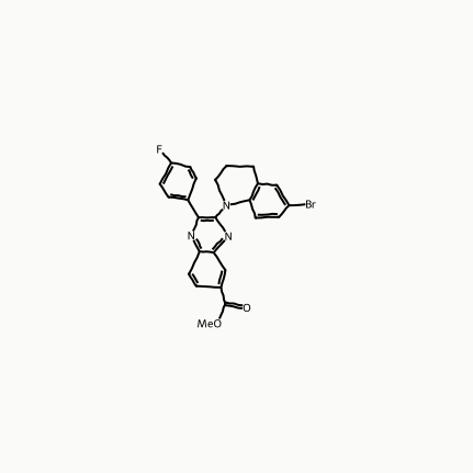 COC(=O)c1ccc2nc(-c3ccc(F)cc3)c(N3CCCc4cc(Br)ccc43)nc2c1